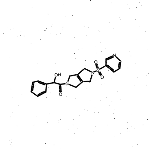 O=C(C(O)c1ccccc1)N1CC2=C(C1)CN(S(=O)(=O)c1cccnc1)C2